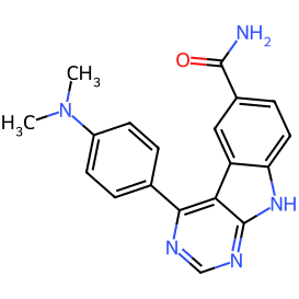 CN(C)c1ccc(-c2ncnc3[nH]c4ccc(C(N)=O)cc4c23)cc1